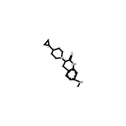 CNc1ccc2c(c1)NC(=O)C(N1CCC(C3CC3)CC1)C2